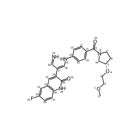 COCCO[C@H]1CCN(C(=O)c2ccc(N/C=C(\C=N)c3cc4cc(F)ccc4[nH]c3=O)cc2)C1